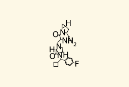 N#C[C@@H]1C[C@@H]2CC2N1C(=O)[C@@H](N)CN1C[C@@H]2C[C@H]1C(=O)N2[C@@H](c1ccc(F)cc1)C1CCC1